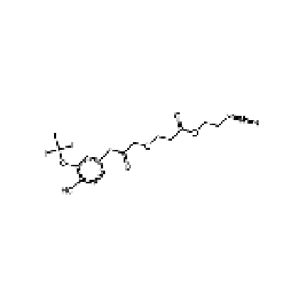 [N-]=[N+]=NCCOC(=O)CCOCC(=O)Cc1ccc(O)c(OC(I)(I)I)c1